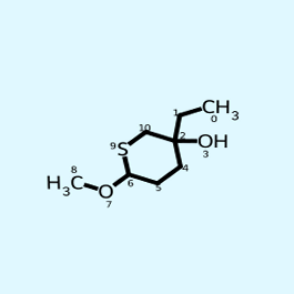 CCC1(O)CCC(OC)SC1